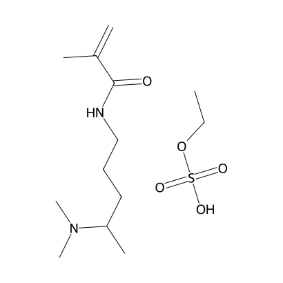 C=C(C)C(=O)NCCCC(C)N(C)C.CCOS(=O)(=O)O